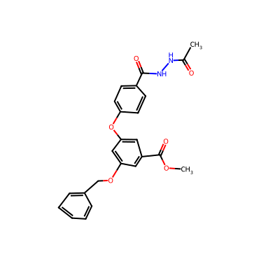 COC(=O)c1cc(OCc2ccccc2)cc(Oc2ccc(C(=O)NNC(C)=O)cc2)c1